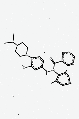 Cc1cccc(C)c1N(Nc1ccc(N2CCN(C(C)C)CC2)c(Cl)c1)C(=O)c1cncnc1